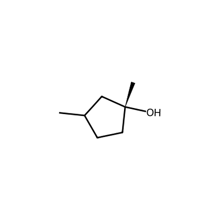 CC1CC[C@@](C)(O)C1